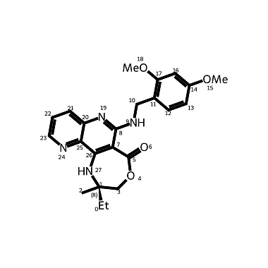 CC[C@]1(C)COC(=O)c2c(NCc3ccc(OC)cc3OC)nc3cccnc3c2N1